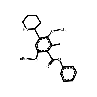 CCCCOc1cc(C2CCCCN2)c(OC(F)(F)F)c(C)c1C(=O)Oc1ccccc1